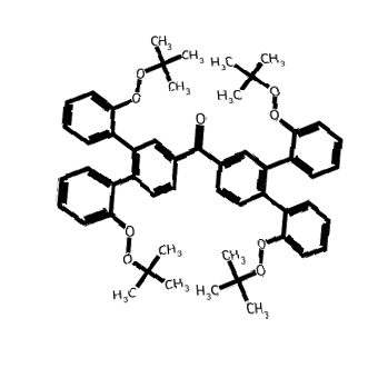 CC(C)(C)OOc1ccccc1-c1ccc(C(=O)c2ccc(-c3ccccc3OOC(C)(C)C)c(-c3ccccc3OOC(C)(C)C)c2)cc1-c1ccccc1OOC(C)(C)C